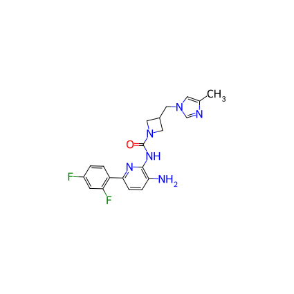 Cc1cn(CC2CN(C(=O)Nc3nc(-c4ccc(F)cc4F)ccc3N)C2)cn1